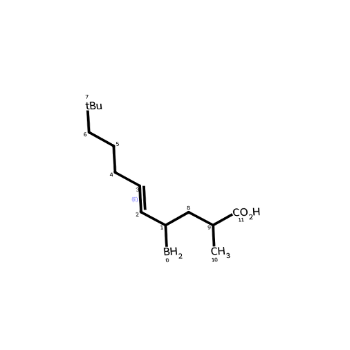 BC(/C=C/CCCC(C)(C)C)CC(C)C(=O)O